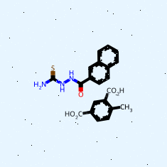 Cc1ccc(C(=O)O)cc1C(=O)O.NC(=S)NNC(=O)c1ccc2ccccc2c1